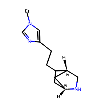 CCn1cnc(CCC2C[C@@H]3C[C@H]2CN3)c1